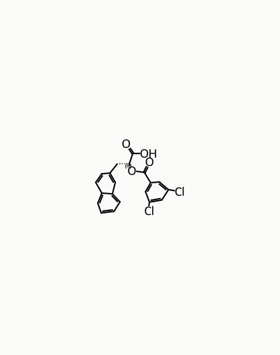 O=C(O[C@H](Cc1ccc2ccccc2c1)C(=O)O)c1cc(Cl)cc(Cl)c1